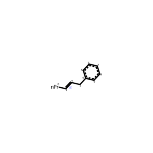 CCC/C=C/Cc1c[c]ccc1